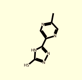 Cc1cnc(-c2nnc(S)[nH]2)cn1